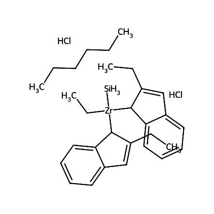 CCC1=Cc2ccccc2[CH]1[Zr]([SiH3])([CH2]C)[CH]1C(CC)=Cc2ccccc21.CCCCCC.Cl.Cl